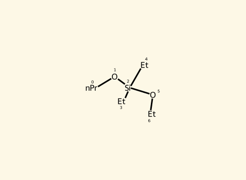 CCCO[Si](CC)(CC)OCC